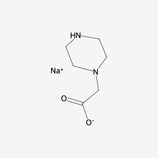 O=C([O-])CN1CCNCC1.[Na+]